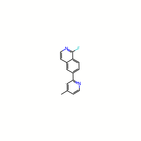 Cc1[c]c(-c2ccc3c(F)nccc3c2)ncc1